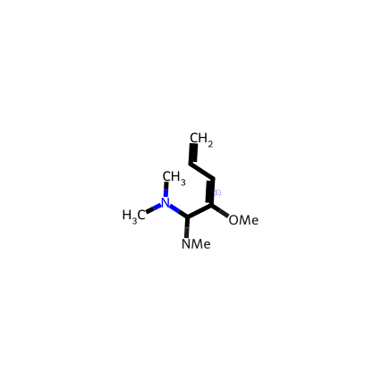 C=C/C=C(/OC)C(NC)N(C)C